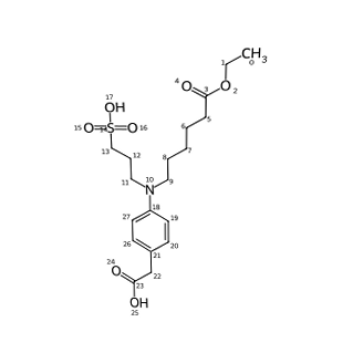 CCOC(=O)CCCCCN(CCCS(=O)(=O)O)c1ccc(CC(=O)O)cc1